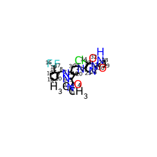 CN(C)C(=O)c1nn(Cc2ccccc2C(F)F)c2c1CN(c1cnn(C3NCCO3)c(=O)c1Cl)CC2